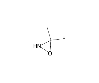 CC1(F)NO1